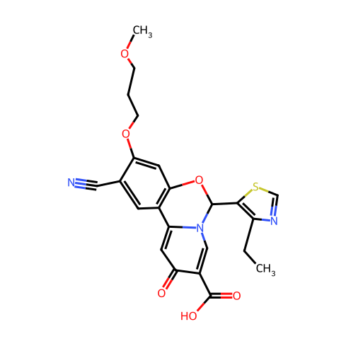 CCc1ncsc1C1Oc2cc(OCCCOC)c(C#N)cc2-c2cc(=O)c(C(=O)O)cn21